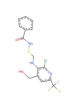 O=C(NSCNc1c(CO)cc(C(F)(F)F)nc1Cl)c1ccccc1